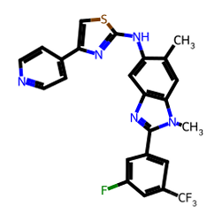 Cc1cc2c(cc1Nc1nc(-c3ccncc3)cs1)nc(-c1cc(F)cc(C(F)(F)F)c1)n2C